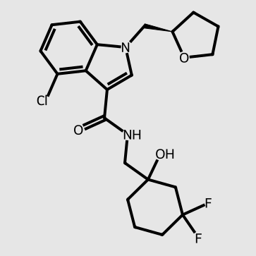 O=C(NCC1(O)CCCC(F)(F)C1)c1cn(C[C@H]2CCCO2)c2cccc(Cl)c12